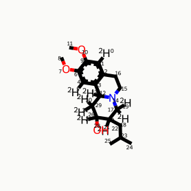 [2H]c1c2c(c([2H])c(OC)c1OC)C1([2H])N(CC2)C([2H])([2H])C([2H])(CC(C)C)C([2H])(O)C1([2H])[2H]